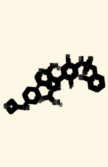 CC(C)n1nc(-c2cc(F)c(NS(=O)(=O)Cc3ccccc3Cl)cc2F)c2c(N)ncc([C@H]3CC[C@H](NC4COC4)CC3)c21